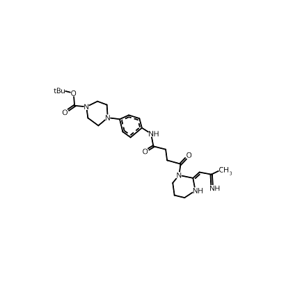 CC(=N)/C=C1\NCCCN1C(=O)CCC(=O)Nc1ccc(N2CCN(C(=O)OC(C)(C)C)CC2)cc1